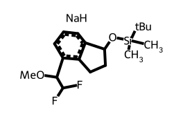 COC(c1cccc2c1CCC2O[Si](C)(C)C(C)(C)C)C(F)F.[NaH]